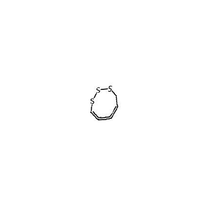 C1=C=CSSSCC=1